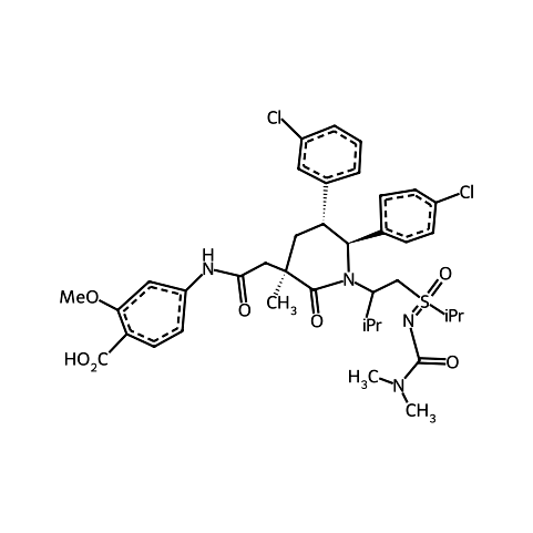 COc1cc(NC(=O)C[C@@]2(C)C[C@H](c3cccc(Cl)c3)[C@@H](c3ccc(Cl)cc3)N(C(CS(=O)(=NC(=O)N(C)C)C(C)C)C(C)C)C2=O)ccc1C(=O)O